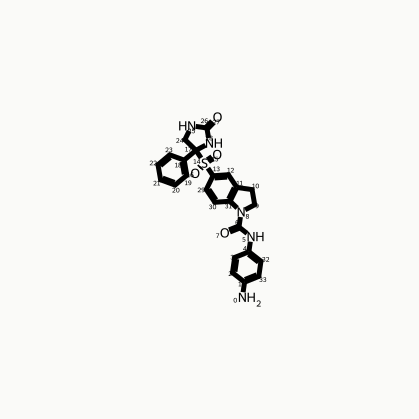 Nc1ccc(NC(=O)N2CCc3cc(S(=O)(=O)C4(c5ccccc5)CNC(=O)N4)ccc32)cc1